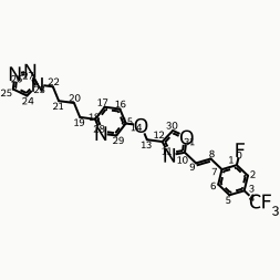 Fc1cc(C(F)(F)F)ccc1/C=C/c1nc(COc2ccc(CCCCn3ccnn3)nc2)co1